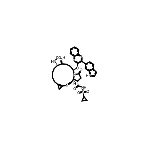 O=C(O)N[C@H]1CCCCC2=C(C2)/N=C\[C@H]2[C@@H](C(=O)NS(=O)(=O)C3CC3)CC(=O)N2[C@H](Oc2nc3ccccc3nc2-c2ccc3cc[nH]c3c2)CCC1=O